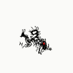 COC(=O)N[C@H](COC1CC1)C(=O)N[C@@H](CCCc1ccccc1)B1O[C@@H]2C[C@@H]3C[C@@H](C3(C)C)[C@]2(C)O1